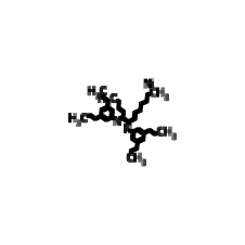 CCCCC/C=C/C(=N\c1cc(CCC)cc(CCC)c1)C(/CCCC)=N/c1cc(CCC)cc(CCC)c1.[Ni]